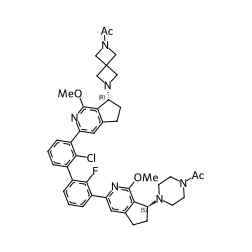 COc1nc(-c2cccc(-c3cccc(-c4cc5c(c(OC)n4)[C@@H](N4CCN(C(C)=O)CC4)CC5)c3F)c2Cl)cc2c1[C@H](N1CC3(CN(C(C)=O)C3)C1)CC2